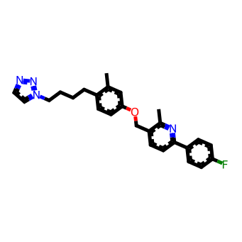 Cc1cc(OCc2ccc(-c3ccc(F)cc3)nc2C)ccc1CCCCn1ccnn1